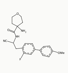 COc1ccc(-c2ccc(CC(C#N)NC(=O)C3(N)CCOCC3)c(F)c2)cc1